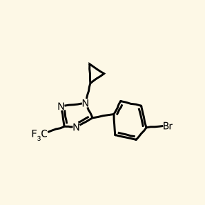 FC(F)(F)c1nc(-c2ccc(Br)cc2)n(C2CC2)n1